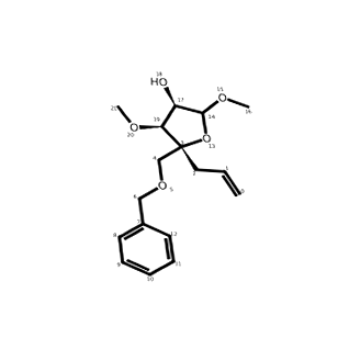 C=CC[C@]1(COCc2ccccc2)OC(OC)[C@H](O)[C@@H]1OC